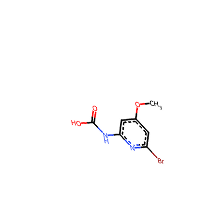 COc1cc(Br)nc(NC(=O)O)c1